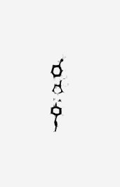 CC#Cc1ccc(S(=O)(=O)N2C[C@H](Oc3ccc(C#N)c(F)c3)[C@](O)(CO)C2)cc1